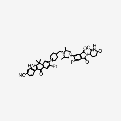 CCc1cc2c(cc1N1CCC(CN3C(C)CN(c4cc5c(cc4F)C(=O)N(C4CCC(=O)NC4=O)C5=O)CC3C)CC1)C(C)(C)c1[nH]c3cc(C#N)ccc3c1C2=O